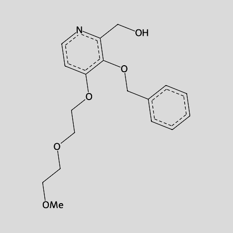 COCCOCCOc1ccnc(CO)c1OCc1ccccc1